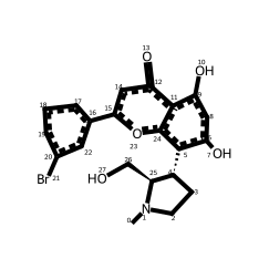 CN1CC[C@@H](c2c(O)cc(O)c3c(=O)cc(-c4cccc(Br)c4)oc23)[C@@H]1CO